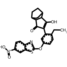 CCc1ccc(Oc2nc3ccc([N+](=O)O)cc3s2)cc1C1=C(O)C2C3CCC(CC3)C2C1=O